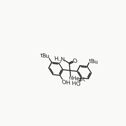 CCCCCCCC(C(N)=O)(c1cc(C(C)(C)C)ccc1O)c1cc(C(C)(C)C)ccc1O